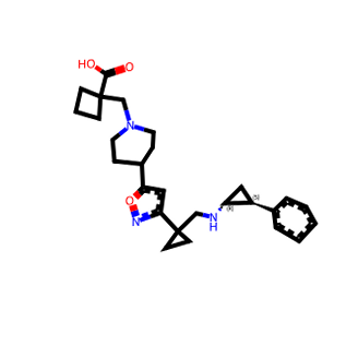 O=C(O)C1(CN2CCC(c3cc(C4(CN[C@@H]5C[C@H]5c5ccccc5)CC4)no3)CC2)CCC1